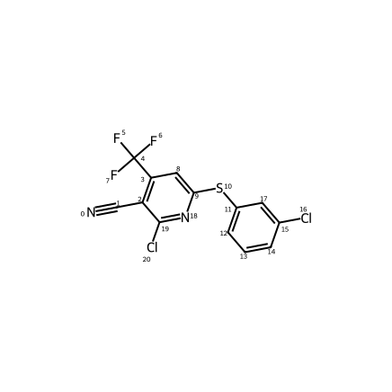 N#Cc1c(C(F)(F)F)cc(Sc2cccc(Cl)c2)nc1Cl